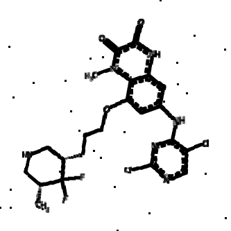 C[C@@H]1CNC[C@H](CCCOc2cc(Nc3nc(Cl)ncc3Cl)cc3[nH]c(=O)c(=O)n(C)c23)C1(F)F